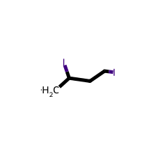 [CH2]C(I)CCI